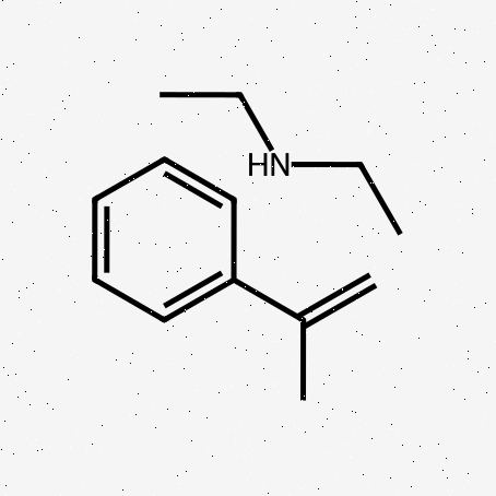 C=C(C)c1ccccc1.CCNCC